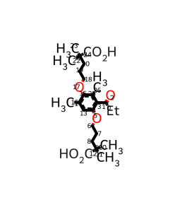 CCC(=O)c1c(OCCCC(C)(C)C(=O)O)cc(C)c(OCCCC(C)(C)C(=O)O)c1C